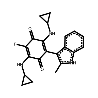 Cc1[nH]c2ccccc2c1C1=C(NC2CC2)C(=O)C(F)=C(NC2CC2)C1=O